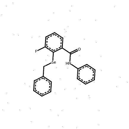 O=C(Nc1ccccc1)c1cccc(F)c1[Se]Cc1ccccc1